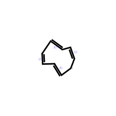 [CH]1\C=C/C=C/C=C\C=C\1